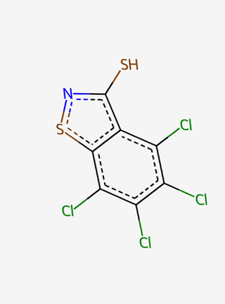 Sc1nsc2c(Cl)c(Cl)c(Cl)c(Cl)c12